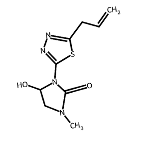 C=CCc1nnc(N2C(=O)N(C)CC2O)s1